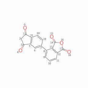 O=C1CC(=O)c2cc(-c3cccc4c3C(=O)OC4=O)ccc21